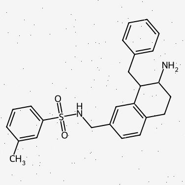 Cc1cccc(S(=O)(=O)NCc2ccc3c(c2)C(Cc2ccccc2)C(N)CC3)c1